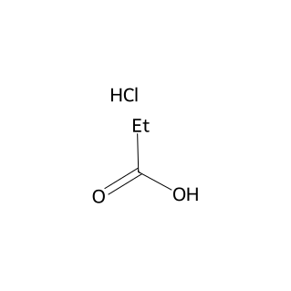 CCC(=O)O.Cl